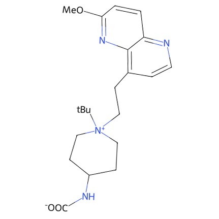 COc1ccc2nccc(CC[N+]3(C(C)(C)C)CCC(NC(=O)[O-])CC3)c2n1